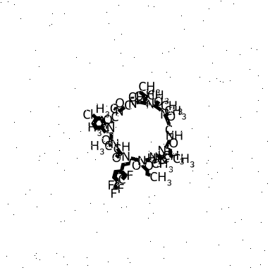 CCCCN1C(=O)[C@@H](CCc2ccc(C(F)(F)F)cc2F)NC(=O)CN(C)C(=O)[C@H](Cc2ccc(Cl)cc2)N(C)C(=O)CN(C)C(=O)CN(C)C(=O)[C@H]([C@@H](C)CC)NC(=O)[C@H](C)N(C)C(=O)CCNC(=O)[C@@H](CC(C)C)N(C)C(=O)N(C)C1=O